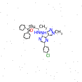 C[C@@H](CO[Si](c1ccccc1)(c1ccccc1)C(C)(C)C)NNc1ncc(-c2ccc(Cl)cc2)nc1-c1cnn(C)c1